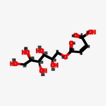 O=C(O)/C=C\C(=O)OC[C@@H](O)[C@@H](O)[C@H](O)[C@H](O)CO